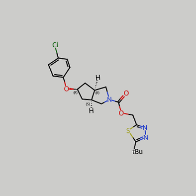 CC(C)(C)c1nnc(COC(=O)N2C[C@H]3C[C@@H](Oc4ccc(Cl)cc4)C[C@H]3C2)s1